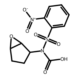 O=C(O)N(C1CCC2OC21)S(=O)(=O)c1ccccc1[N+](=O)[O-]